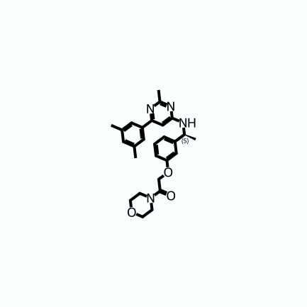 Cc1cc(C)cc(-c2cc(N[C@@H](C)c3cccc(OCC(=O)N4CCOCC4)c3)nc(C)n2)c1